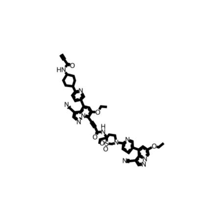 C#CC(=O)NC1CCC(c2ccc(-c3cc(OCC)c(C#CC(=O)NC4(CC)CCN(c5ccc(-c6cc(OCC)cn7ncc(C#N)c67)cn5)CS4(=O)=O)n4ncc(C#N)c34)cn2)CC1